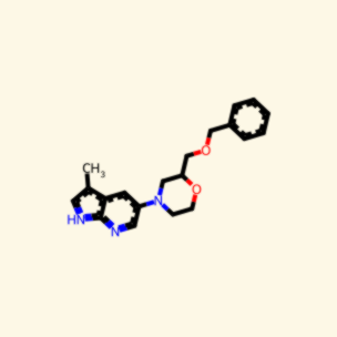 Cc1c[nH]c2ncc(N3CCOC(COCc4ccccc4)C3)cc12